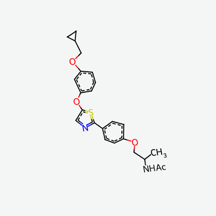 CC(=O)NC(C)COc1ccc(-c2ncc(Oc3cccc(OCC4CC4)c3)s2)cc1